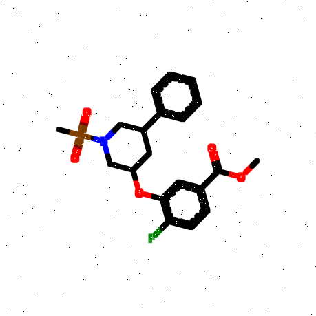 COC(=O)c1ccc(F)c(OC2CC(c3ccccc3)CN(S(C)(=O)=O)C2)c1